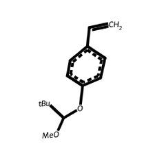 C=Cc1ccc(OC(OC)C(C)(C)C)cc1